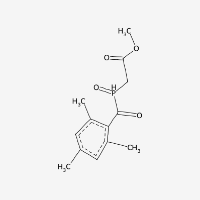 COC(=O)C[PH](=O)C(=O)c1c(C)cc(C)cc1C